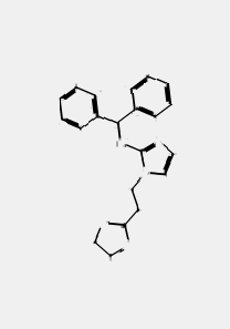 B(c1nccn1CCC1OCCO1)C(c1ccccc1)c1ccccc1